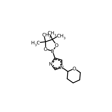 CC1(C)OB(c2cn(C3CCCCO3)cn2)OC1(C)C